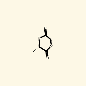 C[C@@H]1OC(=O)COC1=O